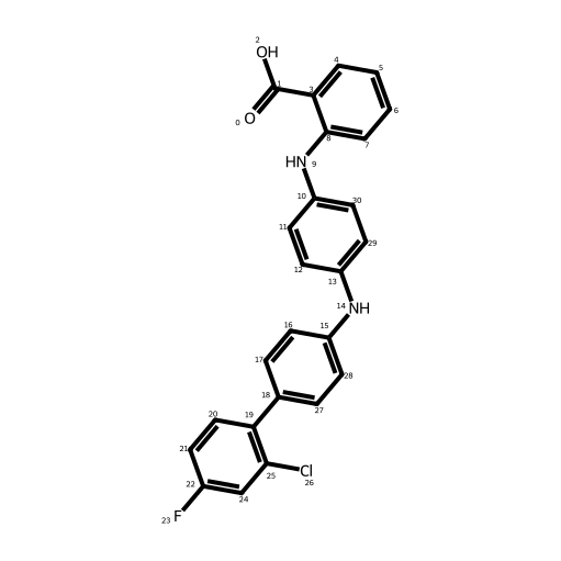 O=C(O)c1ccccc1Nc1ccc(Nc2ccc(-c3ccc(F)cc3Cl)cc2)cc1